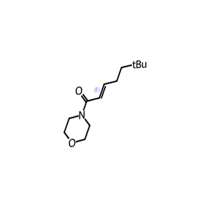 CC(C)(C)CC/C=C/C(=O)N1CCOCC1